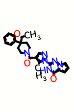 CC(=O)C1(c2ccccc2)CCN(C(=O)c2cnn(-c3nn4cccc4c(=O)[nH]3)c2C)CC1